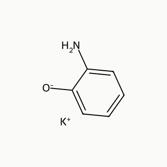 Nc1ccccc1[O-].[K+]